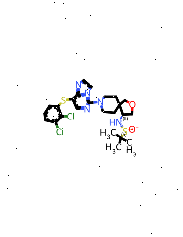 CC(C)(C)[S@@+]([O-])N[C@@H]1COCC12CCN(c1ncc(Sc3cccc(Cl)c3Cl)c3nccn13)CC2